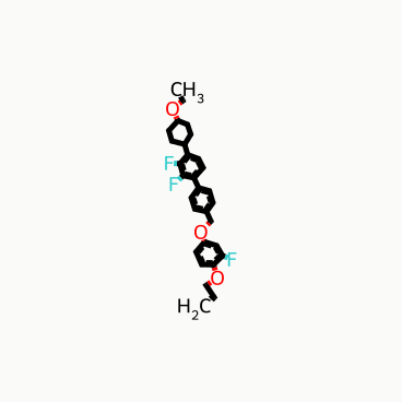 C=CCOc1ccc(OCc2ccc(-c3ccc(C4CCC(OCC)CC4)c(F)c3F)cc2)cc1F